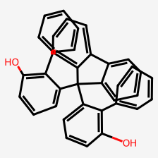 Oc1cccc(C2(c3cccc(O)c3-c3ccccc3)c3ccccc3-c3ccccc32)c1-c1ccccc1